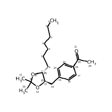 CCCCCCC[C@H]1OC(C)(C)O[C@@H]1Cc1ccc(C(C)=O)cc1